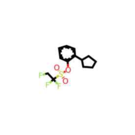 O=S(=O)(Oc1ccccc1C1CCCC1)C(F)(F)CF